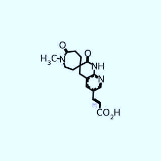 CN1CCC2(CCC1=O)Cc1cc(/C=C/C(=O)O)cnc1NC2=O